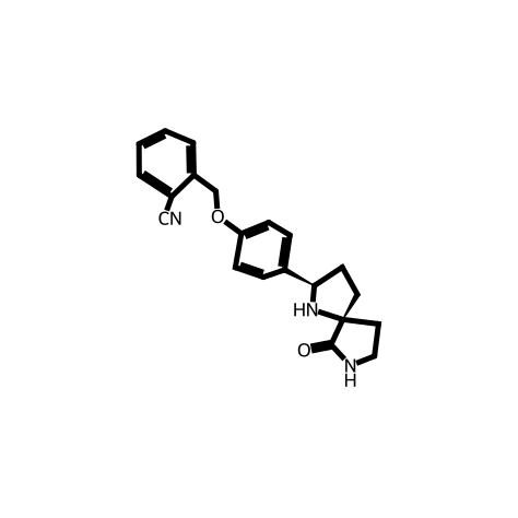 N#Cc1ccccc1COc1ccc([C@H]2CC[C@]3(CCNC3=O)N2)cc1